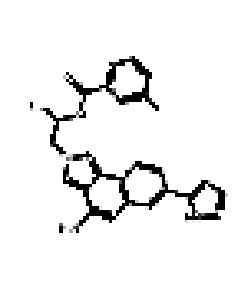 CC(Cn1cc2c(N)nc3cc(-c4ccn[nH]4)ccc3c2n1)NC(=O)c1cc(F)ccn1